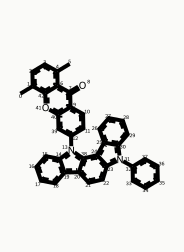 Cc1ccc(C)c2c(=O)c3ccc(-n4c5ccccc5c5ccc6c(c7ccccc7n6-c6ccccc6)c54)cc3oc12